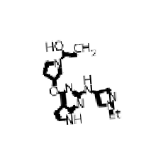 C=CC(O)N1CCC(Oc2nc(Nc3cnn(CC)c3)nc3[nH]ccc23)C1